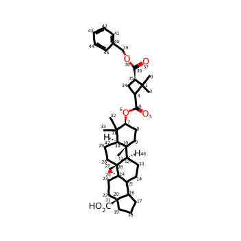 CC1(C)C(C(=O)O[C@H]2CC[C@]3(C)[C@H]4CCC5C6CCC[C@]6(C(=O)O)CC[C@@]5(C)[C@]4(C)CC[C@H]3C2(C)C)C[C@H]1C(=O)OCc1ccccc1